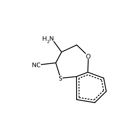 N#CC1Sc2ccccc2OCC1N